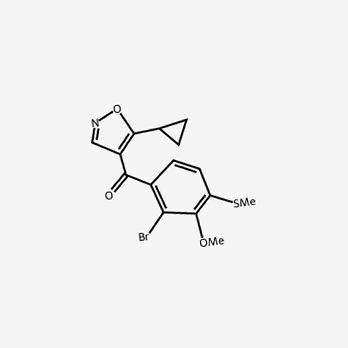 COc1c(SC)ccc(C(=O)c2cnoc2C2CC2)c1Br